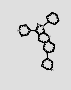 c1ccc(-n2nc(-c3ccncc3)c3cc4cc(-c5cccnc5)ccc4nc32)cc1